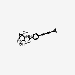 O=C(NC(C(=O)NO)C1(O)CC1I)c1ccc(C#CC#CC2CC2)cc1